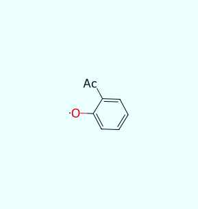 CC(=O)c1ccccc1[O]